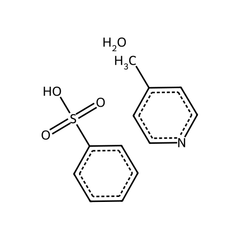 Cc1ccncc1.O.O=S(=O)(O)c1ccccc1